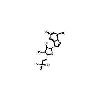 Nc1nc(Cl)nc2c1ncn2[C@@H]1O[C@H](CCP(=O)(O)O)C(O)C1O